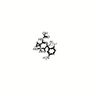 C[C@]1(c2cc(N)ccc2F)N=C(NC(=O)O)C2(CC2)S(O)(O)C1F